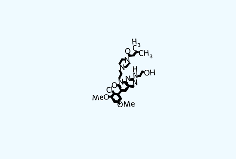 COc1cc(OC)c(Cl)c(-c2cc3cnc(NCCO)nc3n(CCCN3CCN(C(=O)C=C(C)C)CC3)c2=O)c1